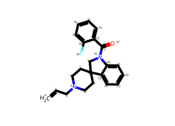 C=CCN1CCC2(CC1)CN(C(=O)c1ccccc1F)c1ccccc12